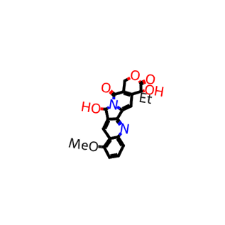 CC[C@@]1(O)C(=O)OCc2c1cc1n(c2=O)C(O)c2cc3c(OC)cccc3nc2-1